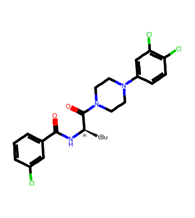 CC(C)(C)[C@@H](NC(=O)c1cccc(Cl)c1)C(=O)N1CCN(c2ccc(Cl)c(Cl)c2)CC1